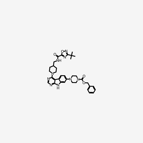 CC(C)(C)c1noc(C(=O)NCC2CCN(c3ncnc4[nH]c5cc(N6CCN(C(=O)OCc7ccccc7)CC6)ccc5c34)CC2)n1